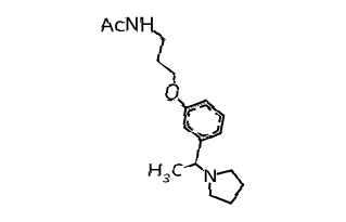 CC(=O)NCCCOc1cccc(C(C)N2CCCC2)c1